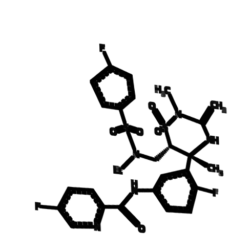 C=C1N[C@](C)(c2cc(NC(=O)c3ccc(F)cn3)ccc2F)[C@H](CN(CC)S(=O)(=O)c2ccc(F)cc2)S(=O)(=O)N1C